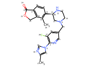 Cc1cn(-c2ncc(CN3CCN[C@H](c4ccc5c(c4C)COC5=O)C3)cc2F)cn1